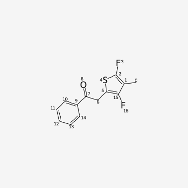 Cc1c(F)sc(CC(=O)c2ccccc2)c1F